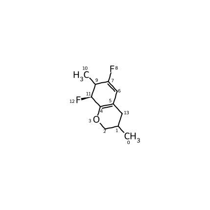 CC1COC2=C(C=C(F)C(C)[C@@H]2F)C1